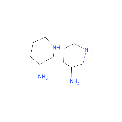 NC1CCCNC1.NC1CCCNC1